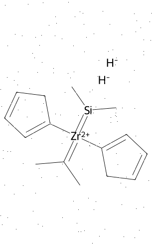 C[C](C)=[Zr+2]([C]1=CC=CC1)([C]1=CC=CC1)=[Si](C)C.[H-].[H-]